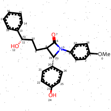 COc1ccc(N2C(=O)C(CC[C@H](O)c3ccccc3)[C@H]2c2ccc(O)cc2)cc1